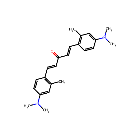 Cc1cc(N(C)C)ccc1/C=C/C(=O)/C=C/c1ccc(N(C)C)cc1C